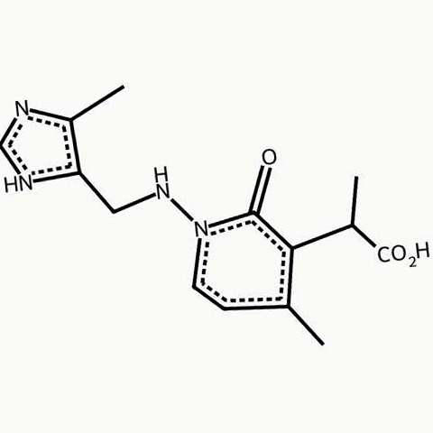 Cc1ccn(NCc2[nH]cnc2C)c(=O)c1C(C)C(=O)O